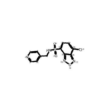 O=S(=O)(NCc1ccncc1)c1ccc(Cl)c2nonc12